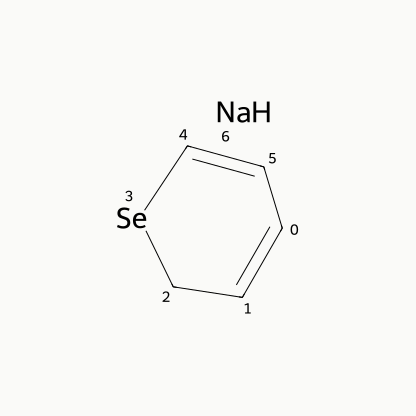 C1=CC[Se]C=C1.[NaH]